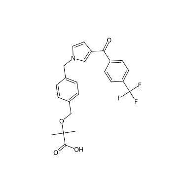 CC(C)(OCc1ccc(Cn2ccc(C(=O)c3ccc(C(F)(F)F)cc3)c2)cc1)C(=O)O